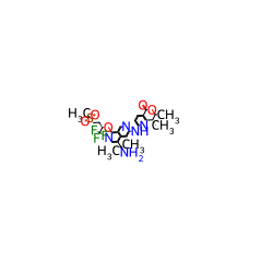 C[C@@H]1OC(=O)c2ccc(Nc3cc4c(C(C)(C)N)cnc(O[C@H](CCS(C)(=O)=O)C(F)(F)F)c4cn3)nc2[C@H]1C